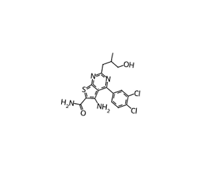 CC(CO)Cc1nc(-c2ccc(Cl)c(Cl)c2)c2c(N)c(C(N)=O)sc2n1